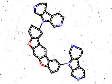 c1cc2c3ccncc3n(-c3ccc4oc5cc6oc7ccc(-n8c9cnccc9c9ccncc98)cc7c6cc5c4c3)c2cn1